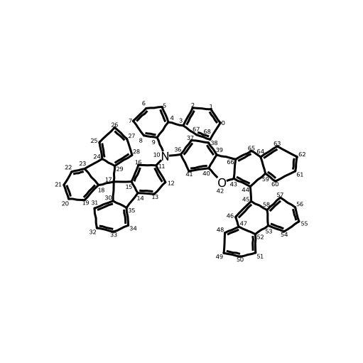 c1ccc(-c2ccccc2N(c2ccc3c(c2)C2(c4ccccc4-c4ccccc42)c2ccccc2-3)c2ccc3c(c2)oc2c(-c4cc5ccccc5c5ccccc45)c4ccccc4cc23)cc1